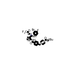 CC(C)(C)OC(=O)N1CCN(Cc2ccc(C(=O)Nc3nonc3/C(=N\OC(=O)C(F)(F)F)Nc3ccc(F)c(Br)c3)cc2)CC1